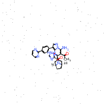 CC(=O)c1c(C2C[C@H]3CC[C@@H](C2)N3C(=O)c2nc[nH]n2)nc2c(-c3ccc(-c4ncccn4)cc3)cnn2c1N